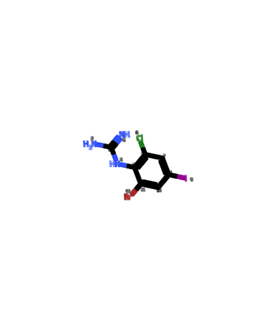 N=C(N)Nc1c(Cl)cc(I)cc1Br